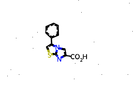 O=C(O)c1cn2c(-c3ccccc3)csc2n1